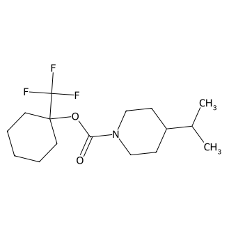 CC(C)C1CCN(C(=O)OC2(C(F)(F)F)CCCCC2)CC1